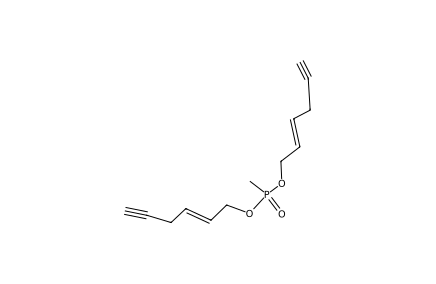 C#CCC=CCOP(C)(=O)OCC=CCC#C